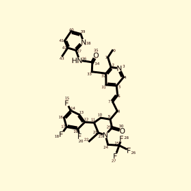 CCc1ncc(/C=C/CC2CC(c3cc(F)cc(F)c3F)C(C)N(CC(F)(F)F)C2=O)cc1CC(=O)Nc1ncccc1C